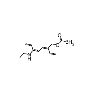 BC(=O)OC/C(C=C)=C/C=C(\C=C)NCC